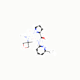 CCN(C1(C)COC1)S(=O)(=O)n1cccc1C(=O)Nc1cccc(C(F)(F)F)n1